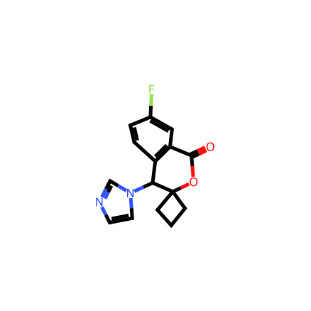 O=C1OC2(CCC2)C(n2ccnc2)c2ccc(F)cc21